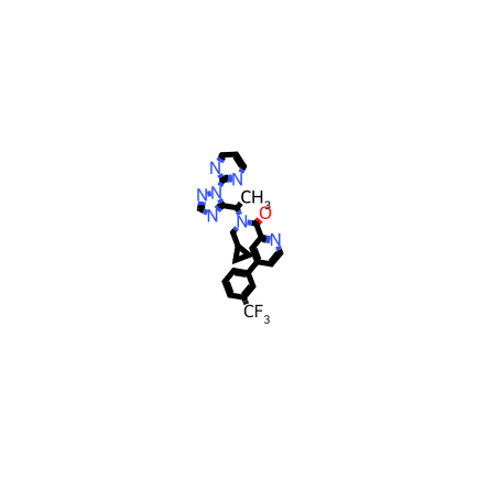 CC(c1ncnn1-c1ncccn1)N(CC1CC1)C(=O)c1cc(-c2cccc(C(F)(F)F)c2)ccn1